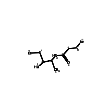 CCSC(O)C(C)NC(=O)CSC(C)=O